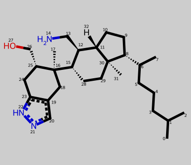 CC(C)CCCC(C)[C@H]1CC[C@H]2[C@H](CN)[C@@H]([C@@]3(C)Cc4cn[nH]c4C[C@@H]3CO)CC[C@]12C